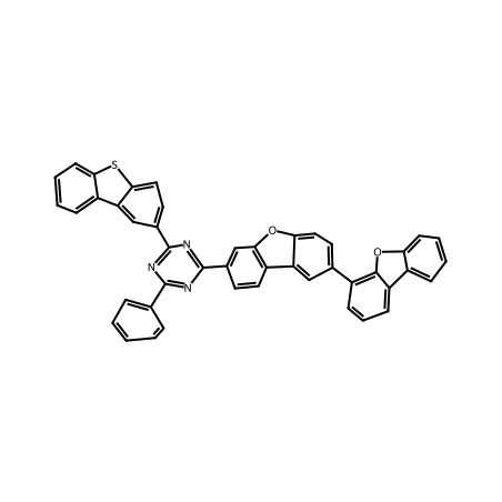 c1ccc(-c2nc(-c3ccc4c(c3)oc3ccc(-c5cccc6c5oc5ccccc56)cc34)nc(-c3ccc4sc5ccccc5c4c3)n2)cc1